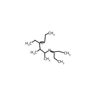 CC/C=C(\CC)C(C)C(C)N=C(CC)CC